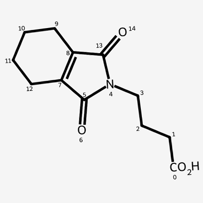 O=C(O)CCCN1C(=O)C2=C(CCCC2)C1=O